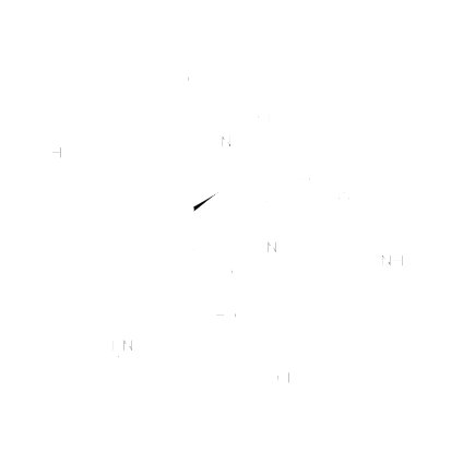 CCCC(=O)N(C)[C@H](CSCCN)C(=O)N(C)[C@@H](CC(C)C)C(N)=O